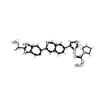 CCCC[C@H](C)c1nc2ccc(-c3cc4ccc(-c5cnc([C@@H]6CCCN6C(=O)OC(C)(C)C)[nH]5)cc4cn3)cc2[nH]1